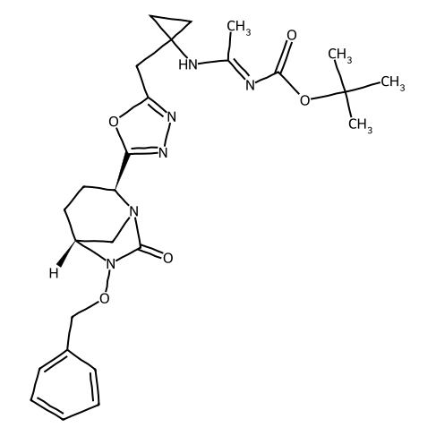 C/C(=N\C(=O)OC(C)(C)C)NC1(Cc2nnc([C@@H]3CC[C@@H]4CN3C(=O)N4OCc3ccccc3)o2)CC1